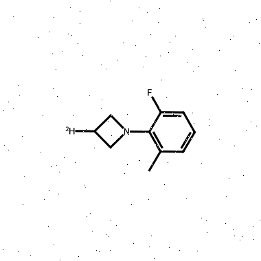 [2H]C1CN(c2c(C)cccc2F)C1